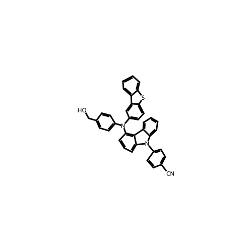 N#Cc1ccc(-n2c3ccccc3c3c(N(c4ccc(CO)cc4)c4ccc5sc6ccccc6c5c4)cccc32)cc1